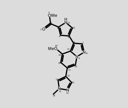 COC(=O)c1cc(-c2cnn3cc(-c4cnn(C)c4)cc(OC)c23)c[nH]1